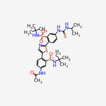 CC(=O)Nc1ccc(-c2cnc(-c3ccc(NC(=S)NC(C)C)cc3S(=O)(=O)NC(C)(C)C)s2)c([S+]([O-])NC(C)(C)C)c1